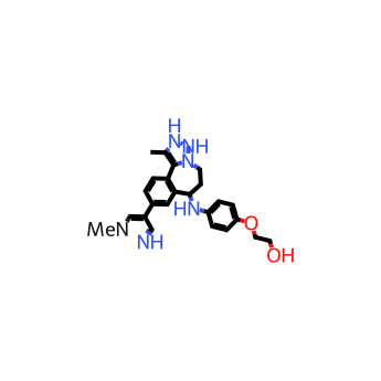 CN/C=C(\C=N)c1ccc2c(c1)C(Nc1ccc(OCCO)cc1)CCN1NNC(C)=C21